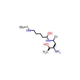 C=C(O)/C(N)=C\C(CC)NC(O)CCCCNSC(C)(C)C